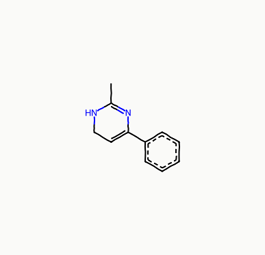 CC1=NC(c2ccccc2)=CCN1